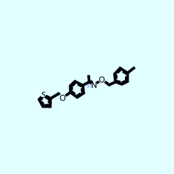 C/C(=N\OCc1ccc(C)cc1)c1ccc(OCc2cccs2)cc1